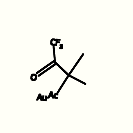 CC(=O)C(C)(C)C(=O)C(F)(F)F.[Au]